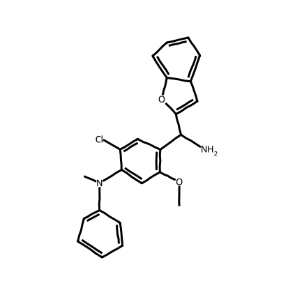 COc1cc(N(C)c2ccccc2)c(Cl)cc1C(N)c1cc2ccccc2o1